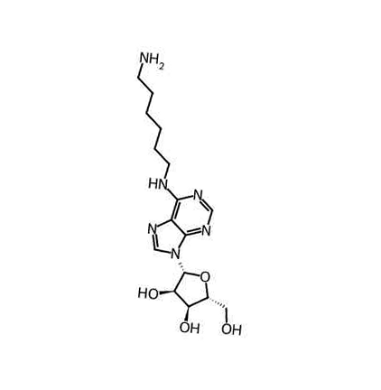 NCCCCCCNc1ncnc2c1ncn2[C@@H]1O[C@H](CO)[C@@H](O)[C@H]1O